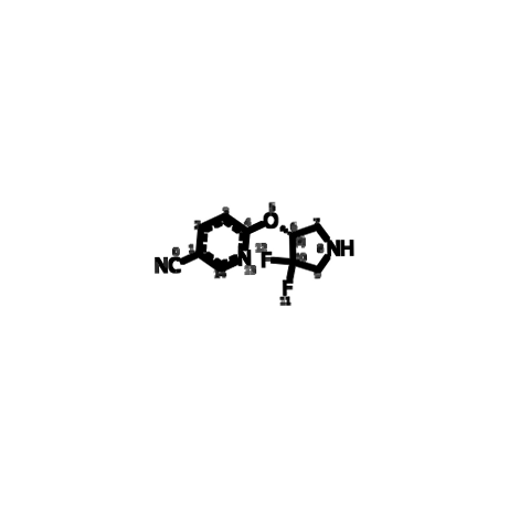 N#Cc1ccc(O[C@@H]2CNCC2(F)F)nc1